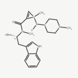 CCCC[C@@H](Cc1c[nH]c2ccccc12)N(C)C(=O)C1=CS1(C)N(F)N1CCN(C)CC1